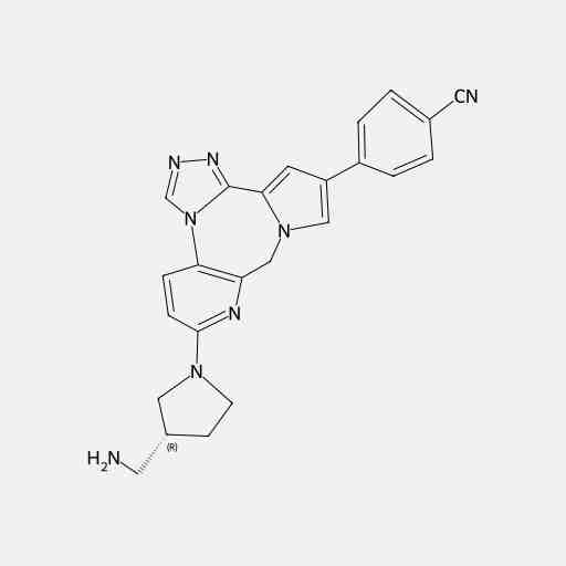 N#Cc1ccc(-c2cc3n(c2)Cc2nc(N4CC[C@H](CN)C4)ccc2-n2cnnc2-3)cc1